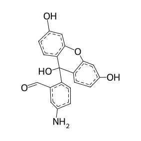 Nc1ccc(C2(O)c3ccc(O)cc3Oc3cc(O)ccc32)c(C=O)c1